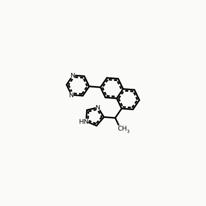 CC(c1c[nH]cn1)c1cccc2ccc(-c3cncnc3)cc12